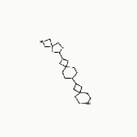 C1CC2(CCN1)CC(C1CCC3(CC1)CN(C1CC4(CNC4)CO1)C3)C2